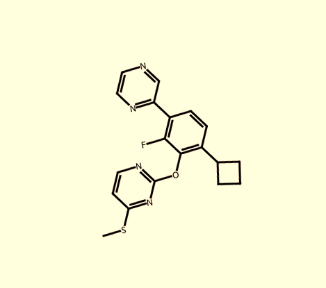 CSc1ccnc(Oc2c(C3CCC3)ccc(-c3cnccn3)c2F)n1